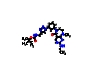 CCNc1ncc2c(n1)N(C)CCN(c1cccc(-n3cc(CNC(=O)OC(C)(C)C)nn3)c1)C2=O